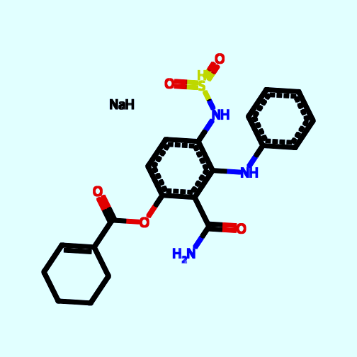 NC(=O)c1c(OC(=O)C2=CCCCC2)ccc(N[SH](=O)=O)c1Nc1ccccc1.[NaH]